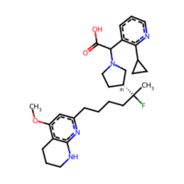 COc1cc(CCCCC(C)(F)[C@@H]2CCN(C(C(=O)O)c3cccnc3C3CC3)C2)nc2c1CCCN2